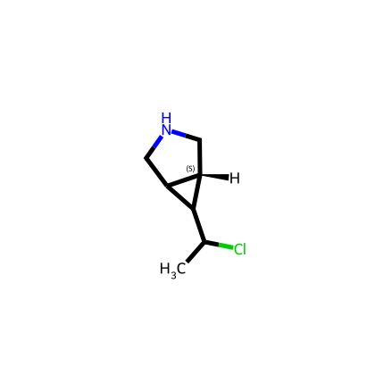 CC(Cl)C1C2CNC[C@@H]21